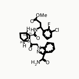 COC(=O)CC(NC(=O)[C@@H]1[C@H]2CC[C@H](C2)N1C(=O)Cn1nc(C(N)=O)c2ccccc21)c1cccc(Cl)c1F